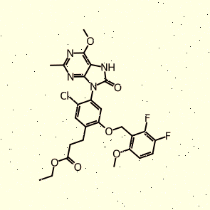 CCOC(=O)CCc1cc(Cl)c(-n2c(=O)[nH]c3c(OC)nc(C)nc32)cc1OCc1c(OC)ccc(F)c1F